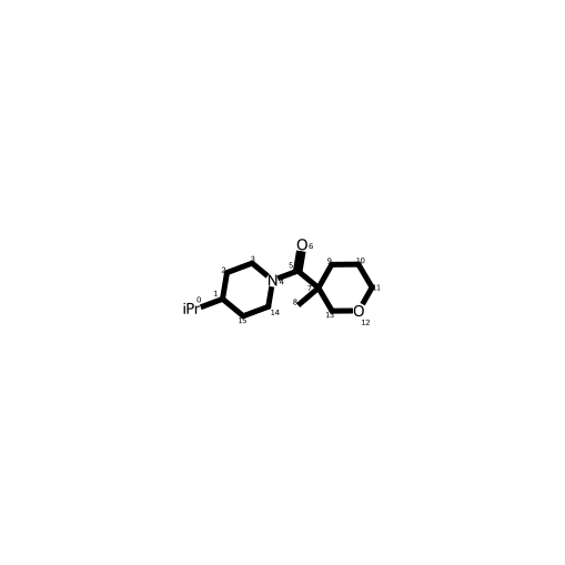 CC(C)C1CCN(C(=O)C2(C)CCCOC2)CC1